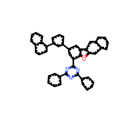 c1ccc(-c2nc(-c3ccccc3)nc(-c3cc(-c4cccc(-c5cccc6ccccc56)c4)cc4c3oc3cc5ccccc5cc34)n2)cc1